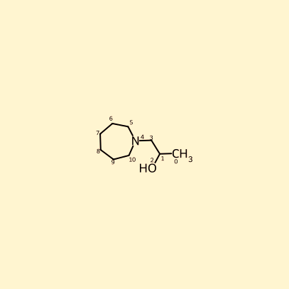 CC(O)CN1CCCCCC1